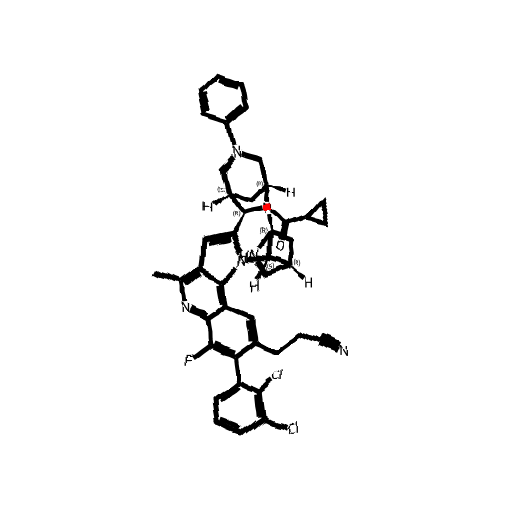 Cc1nc2c(F)c(-c3cccc(Cl)c3Cl)c(CCC#N)cc2c2c1cc([C@H]1[C@H]3C[C@H](CN(c4ccccc4)C3)N1C(=O)C1CC1)n2[C@H]1[C@H]2CN[C@@H]1C2